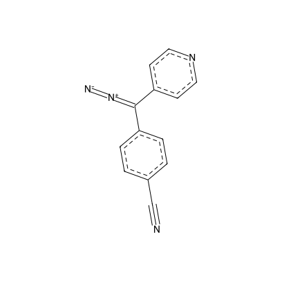 N#Cc1ccc(C(=[N+]=[N-])c2ccncc2)cc1